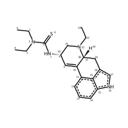 CCN(CC)C(=S)N[C@H]1C=C2c3cccc4[nH]cc(c34)C[C@H]2N(CC)C1